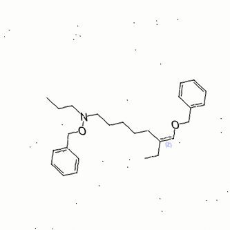 CCCN(CCCCC/C(=C\OCc1ccccc1)CC)OCc1ccccc1